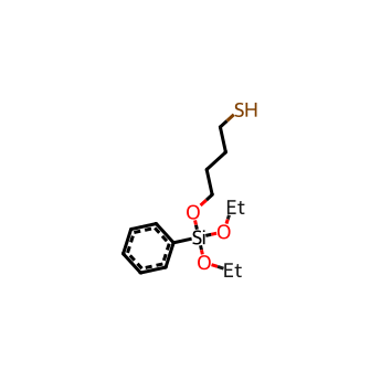 CCO[Si](OCC)(OCCCCS)c1ccccc1